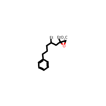 CCOC(=O)C1(CC(CC)CCCc2ccccc2)CO1